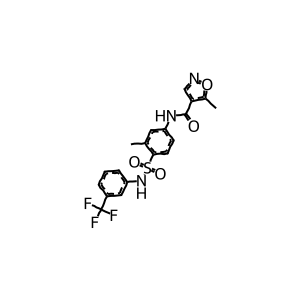 Cc1cc(NC(=O)c2cnoc2C)ccc1S(=O)(=O)Nc1cccc(C(F)(F)F)c1